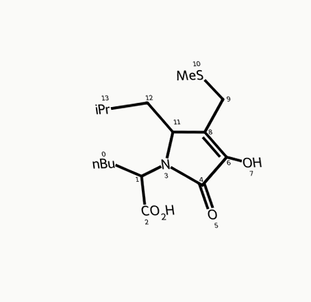 CCCCC(C(=O)O)N1C(=O)C(O)=C(CSC)C1CC(C)C